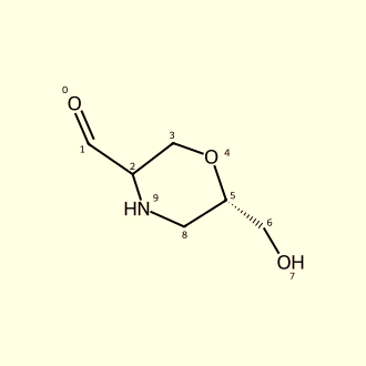 O=CC1CO[C@H](CO)CN1